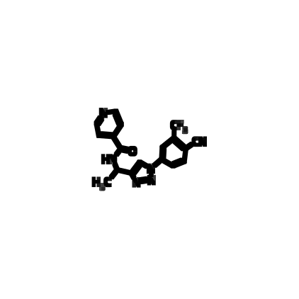 CC(NC(=O)c1ccncc1)c1cn(-c2ccc(C#N)c(C(F)(F)F)c2)nn1